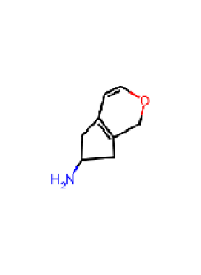 NC1CC2=C(COC=C2)C1